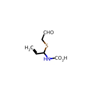 C=CC(NC(=O)O)SCC=O